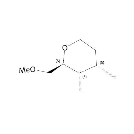 COC[C@H]1OCC[C@H](C)[C@@H]1C